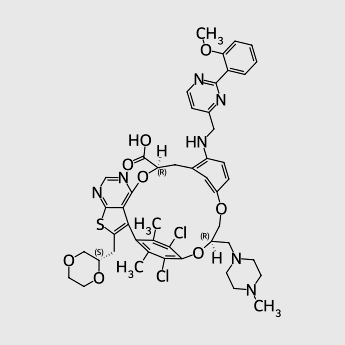 COc1ccccc1-c1nccc(CNc2ccc3cc2C[C@H](C(=O)O)Oc2ncnc4sc(C[C@H]5COCCO5)c(c24)-c2c(C)c(Cl)c(c(Cl)c2C)O[C@H](CN2CCN(C)CC2)CO3)n1